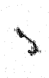 CN(C)C[C@@H](NC(=O)N1Cc2c(NC(=O)c3ccc(C(=O)NCCOCCOCCOc4cc5c6c(cccc6c4)C(=O)N(C4CCC(=O)NC4=O)C5=O)cc3)n[nH]c2C1(C)C)c1ccccc1